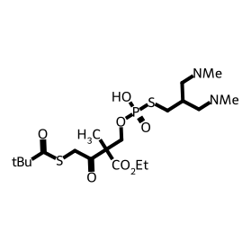 CCOC(=O)C(C)(COP(=O)(O)SCC(CNC)CNC)C(=O)CSC(=O)C(C)(C)C